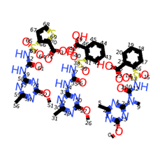 COc1nc(C)nc(N(C)C(=O)NS(=O)(=O)c2ccccc2C(=O)O)n1.COc1nc(C)nc(NC(=O)NS(=O)(=O)c2ccccc2C(=O)O)n1.COc1nc(C)nc(NC(=O)NS(=O)(=O)c2ccsc2C(=O)O)n1